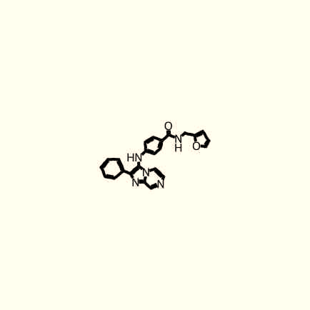 O=C(NCc1ccco1)c1ccc(Nc2c(-c3ccccc3)nc3cnccn23)cc1